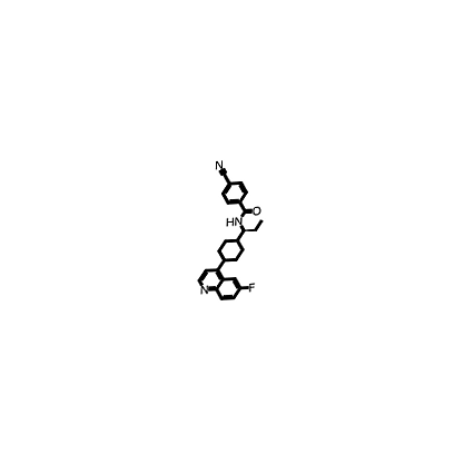 CC[C@H](NC(=O)c1ccc(C#N)cc1)C1CCC(c2ccnc3ccc(F)cc23)CC1